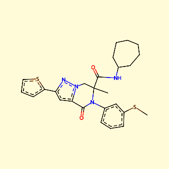 CSc1cccc(N2C(=O)c3cc(-c4cccs4)nn3CC2(C)C(=O)NC2CCCCCC2)c1